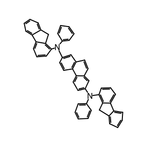 c1ccc(N(c2ccc3c(ccc4cc(N(c5ccccc5)c5cccc6c5Cc5ccccc5-6)ccc43)c2)c2cccc3c2Cc2ccccc2-3)cc1